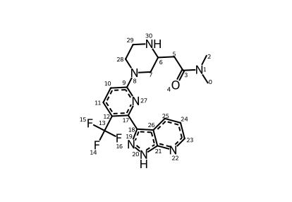 CN(C)C(=O)CC1CN(c2ccc(C(F)(F)F)c(-c3n[nH]c4ncccc34)n2)CCN1